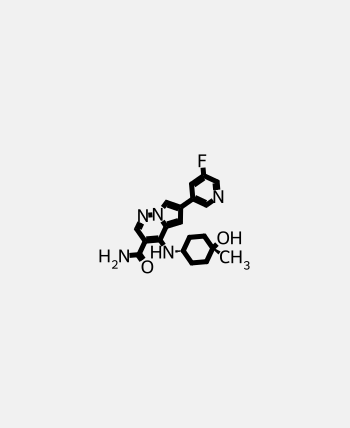 C[C@]1(O)CC[C@@H](Nc2c(C(N)=O)cnn3cc(-c4cncc(F)c4)cc23)CC1